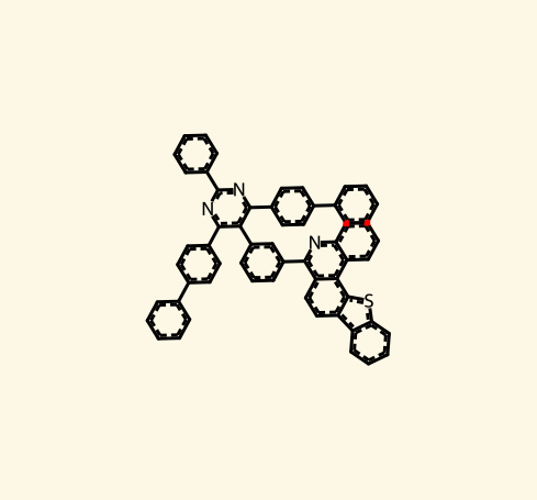 c1ccc(-c2ccc(-c3nc(-c4ccccc4)nc(-c4ccc(-c5ccccc5)cc4)c3-c3cccc(-c4nc5ccccc5c5c4ccc4c6ccccc6sc45)c3)cc2)cc1